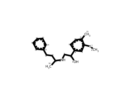 CSc1cc(C(O)CNC(C)CCc2ccccc2)ccc1C